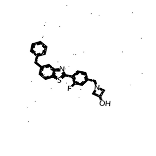 OC1CN(Cc2ccc(-c3nc4cc(Cc5ccccc5)ccc4s3)c(F)c2)C1